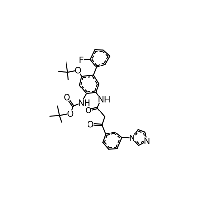 CC(C)(C)OC(=O)Nc1cc(OC(C)(C)C)c(-c2ccccc2F)cc1NC(=O)CC(=O)c1cccc(-n2ccnc2)c1